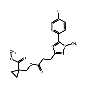 COC(=O)C1(COC(=O)CCc2nc(-c3ccc(Cl)cn3)n(C)n2)CC1